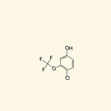 Oc1ccc(Cl)c(OC(F)(F)F)c1